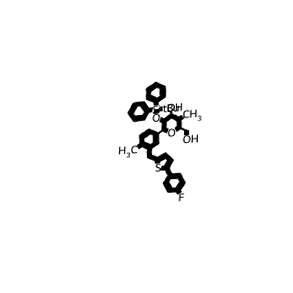 Cc1ccc([C@@H]2O[C@H](CO)C(C)[C@H](O)C2O[Si](c2ccccc2)(c2ccccc2)C(C)(C)C)cc1Cc1ccc(-c2ccc(F)cc2)s1